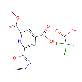 COC(=O)c1cc(C(=O)O)cc(-c2ncco2)n1.O=C(O)C(F)(F)F